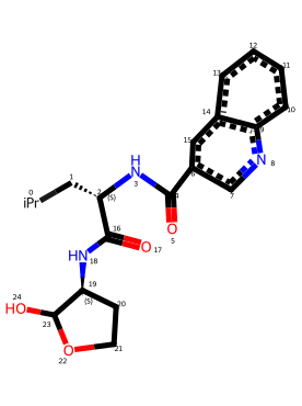 CC(C)C[C@H](NC(=O)c1cnc2ccccc2c1)C(=O)N[C@H]1CCOC1O